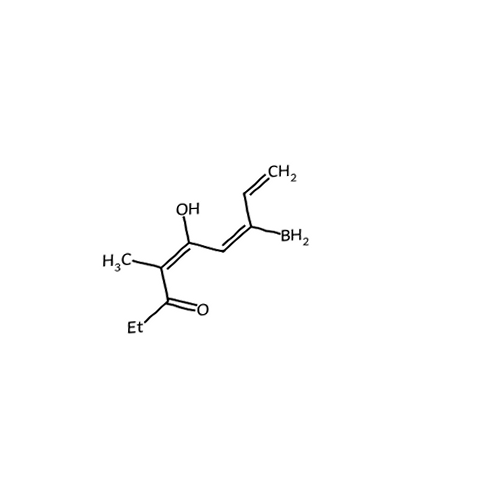 B/C(C=C)=C/C(O)=C(/C)C(=O)CC